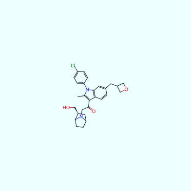 Cc1c(C(=O)CN2C3CCC2[C@@H](CO)C3)c2ccc(CC3COC3)cc2n1-c1ccc(Cl)cc1